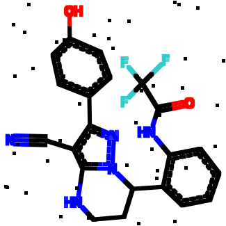 N#Cc1c(-c2ccc(O)cc2)nn2c1NCCC2c1ccccc1NC(=O)C(F)(F)F